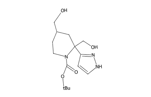 CC(C)(C)OC(=O)N1CCC(CO)CC1(CO)c1cc[nH]n1